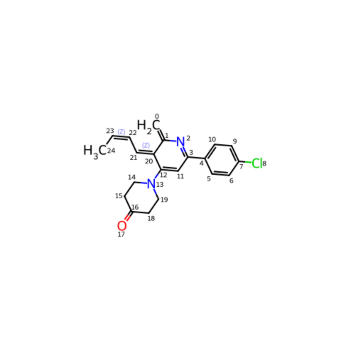 C=c1nc(-c2ccc(Cl)cc2)cc(N2CCC(=O)CC2)/c1=C/C=C\C